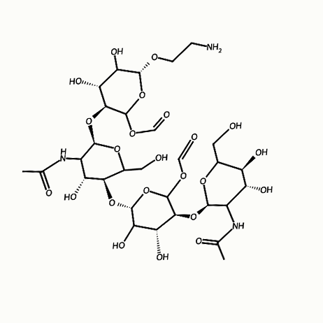 CC(=O)NC1[C@@H](O[C@@H]2C(OC=O)O[C@@H](O[C@@H]3C(CO)O[C@H](O[C@@H]4C(OC=O)O[C@@H](OCCN)C(O)[C@H]4O)C(NC(C)=O)[C@H]3O)C(O)[C@H]2O)OC(CO)[C@@H](O)[C@@H]1O